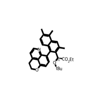 CCOC(=O)[C@@H](OC(C)(C)C)c1c(C)cc2c(C)c(C)ccc2c1-c1ccc2c3c(ccnc13)CCO2